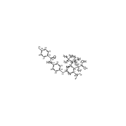 [2H]C([2H])(C(=O)O)c1c(N(C)C)nc(Cc2ccc(NC(=O)c3ccc(C)cc3)cc2)nc1N(C([2H])([2H])[2H])C([2H])([2H])[2H]